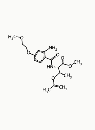 C=C(C)O[C@H](C)[C@H](NC(=O)c1ccc(OCCOC)cc1N)C(=O)OC